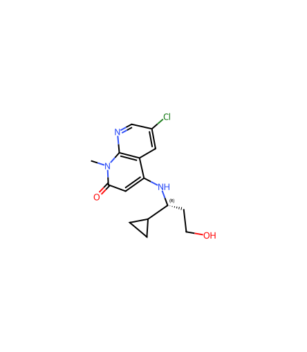 Cn1c(=O)cc(N[C@H](CCO)C2CC2)c2cc(Cl)cnc21